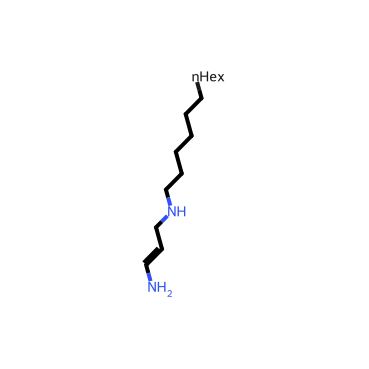 CCCCCCCCCCCCNCC=CN